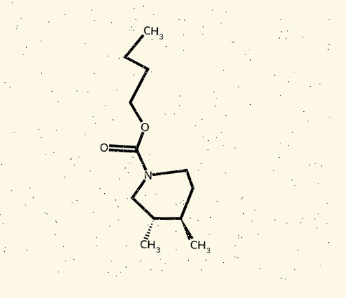 CCCCOC(=O)N1CC[C@@H](C)[C@H](C)C1